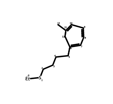 CCSCCCCC1=CC=CC=C(C)C1